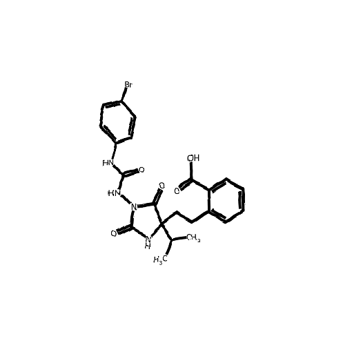 CC(C)C1(CCc2ccccc2C(=O)O)NC(=O)N(NC(=O)Nc2ccc(Br)cc2)C1=O